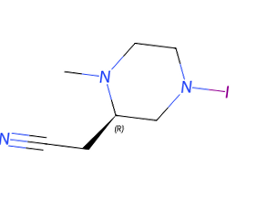 CN1CCN(I)C[C@H]1CC#N